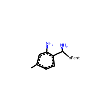 CCCCCC(N)c1ccc(C)cc1N